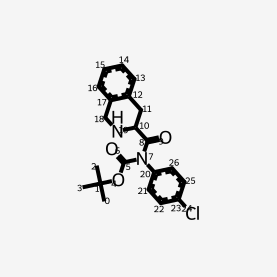 CC(C)(C)OC(=O)N(C(=O)C1Cc2ccccc2CN1)c1ccc(Cl)cc1